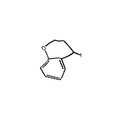 IC1CCOc2ccccc21